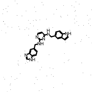 c1cc(NCc2ccc3[nH]ccc3c2)nc(NCc2ccc3[nH]cnc3c2)n1